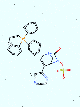 C/C=C\[P+](c1ccccc1)(c1ccccc1)c1ccccc1.O=C1N2CC=C(c3cnccn3)C(C2)N1OS(=O)(=O)[O-]